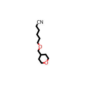 N#CCCCCCOCC1CCOCC1